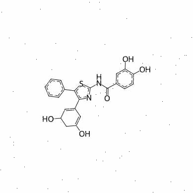 O=C(Nc1nc(C2=CC(O)CC(O)=C2)c(-c2ccccc2)s1)c1ccc(O)c(O)c1